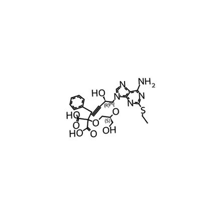 C#C[C@@H](O)[C@@H](O[C@@H](CO)COC(Cc1ccccc1)(C(=O)O)C(=O)O)n1cnc2c(N)nc(SCC)nc21